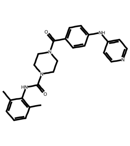 Cc1cccc(C)c1NC(=O)N1CCN(C(=O)c2ccc(Nc3ccncc3)cc2)CC1